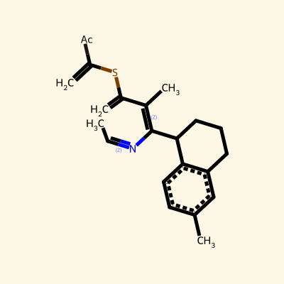 C=C(SC(=C)/C(C)=C(\N=C/C)C1CCCc2cc(C)ccc21)C(C)=O